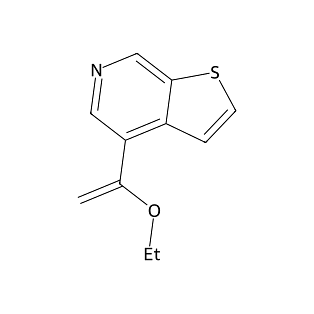 C=C(OCC)c1cncc2sccc12